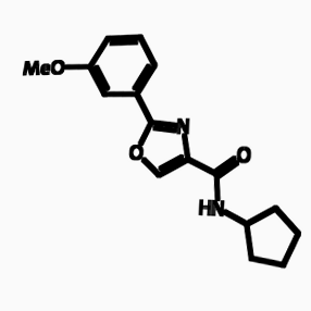 COc1cccc(-c2nc(C(=O)NC3CCCC3)co2)c1